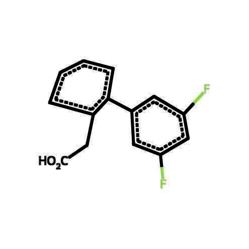 O=C(O)Cc1ccccc1-c1cc(F)cc(F)c1